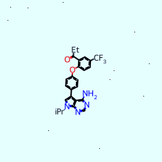 CCC(=O)c1cc(C(F)(F)F)ccc1Oc1ccc(-c2cn(C(C)C)c3ncnc(N)c23)cc1